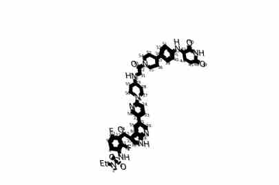 CCN(C)S(=O)(=O)Nc1ccc(F)c(C(=O)c2c[nH]c3ncc(-c4ccc(N5CCC(NCC(=O)N6CCC(c7ccc(NC8CCC(=O)NC8=O)cc7)CC6)CC5)nc4)cc23)c1F